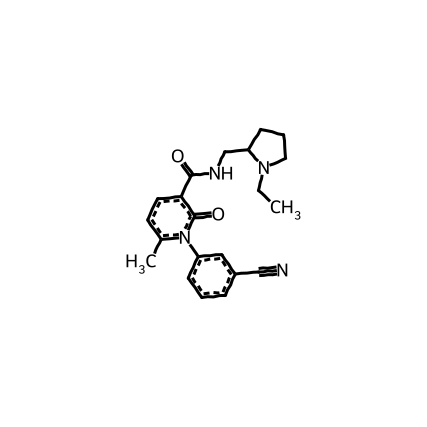 CCN1CCCC1CNC(=O)c1ccc(C)n(-c2cccc(C#N)c2)c1=O